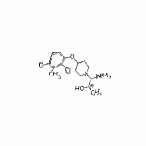 Cc1c(Cl)ccc(OC2CCN(C(N)[C@@H](C)O)CC2)c1Cl